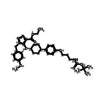 CCOC(=O)c1nnn(Cc2ccc(OC)cc2)c1O[C@H]1CC[C@H](c2ccc(OCCCNC(=O)OC(C)(C)C)cc2)CC1